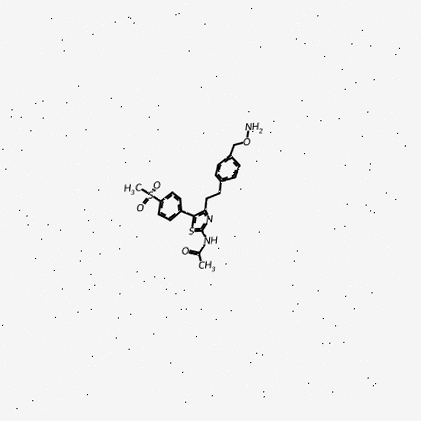 CC(=O)Nc1nc(CCc2ccc(CON)cc2)c(-c2ccc(S(C)(=O)=O)cc2)s1